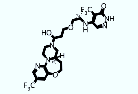 C[C@@H](COCCC(O)N1CCN2c3ncc(C(F)(F)F)cc3OCC[C@H]2C1)Nc1cn[nH]c(=O)c1C(F)(F)F